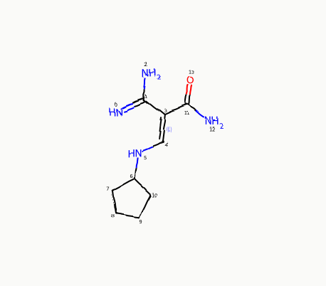 N=C(N)/C(=C\NC1CCCC1)C(N)=O